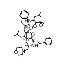 CC(C)C[C@H](NC(=O)[C@H](CCc1ccccc1)NC(=O)CN1CCOCC1)C(=O)C[C@@H](Cc1ccccc1)C(=O)N[C@@H](CC(C)C)C(=O)[C@@]1(C)CO1